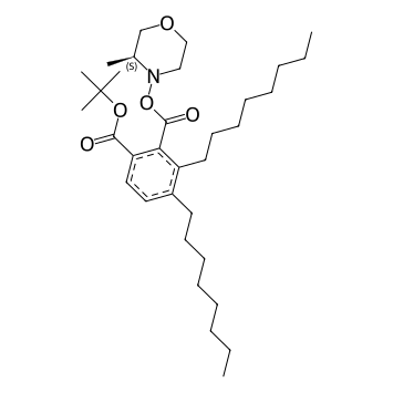 CCCCCCCCc1ccc(C(=O)OC(C)(C)C)c(C(=O)ON2CCOC[C@@H]2C)c1CCCCCCCC